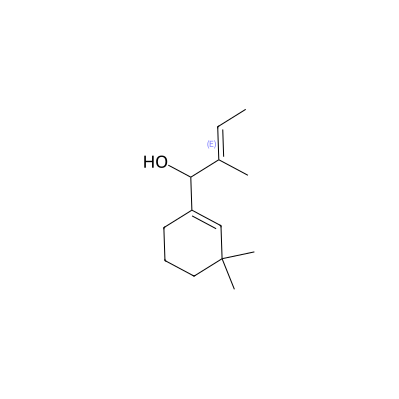 C/C=C(\C)C(O)C1=CC(C)(C)CCC1